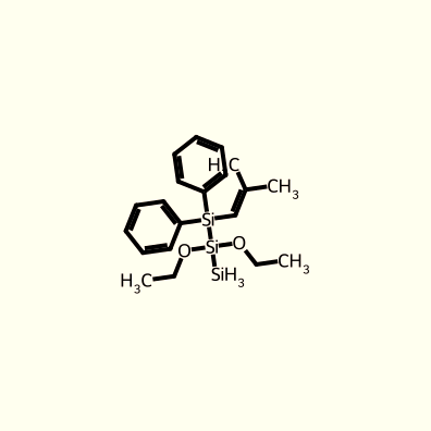 CCO[Si]([SiH3])(OCC)[Si](C=C(C)C)(c1ccccc1)c1ccccc1